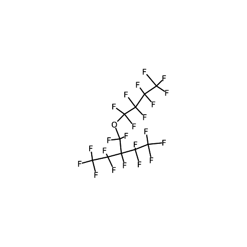 FC(F)(F)C(F)(F)C(F)(F)C(F)(F)OC(F)(F)C(F)(C(F)(F)C(F)(F)F)C(F)(F)C(F)(F)F